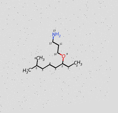 CCC(CCCC(C)C)OCCCN